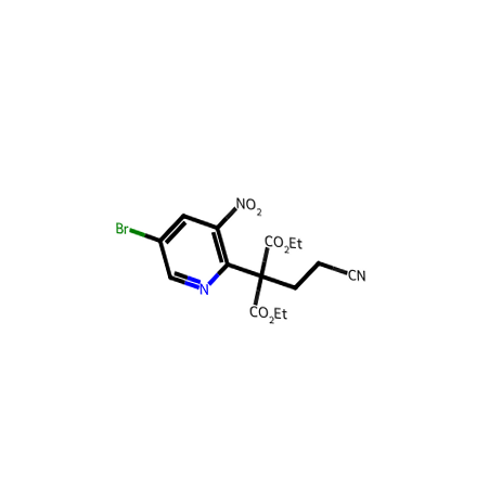 CCOC(=O)C(CCC#N)(C(=O)OCC)c1ncc(Br)cc1[N+](=O)[O-]